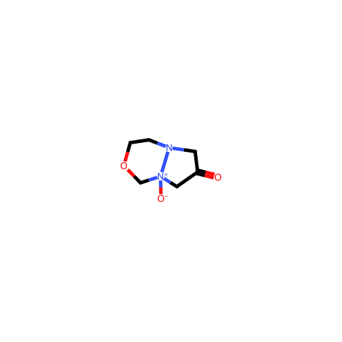 O=C1CN2CCOC[N+]2([O-])C1